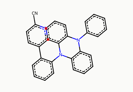 N#Cc1ccc(-c2ccccc2N2c3ccccc3N(c3ccccc3)c3ccccc32)cn1